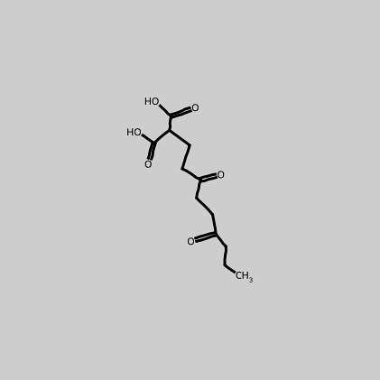 CCCC(=O)CCC(=O)CCC(C(=O)O)C(=O)O